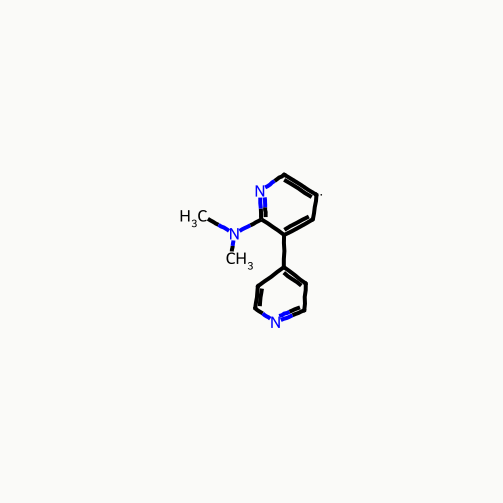 CN(C)c1nc[c]cc1-c1ccncc1